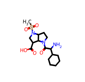 CS(=O)(=O)N1CC(C(=O)O)C2C1CCN2C(=O)C(N)C1CCCCC1